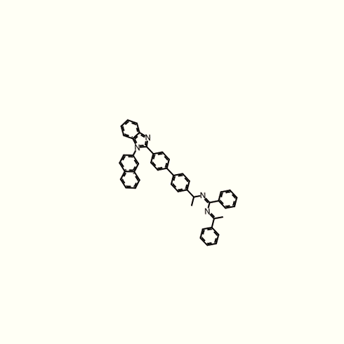 C/C(=N\C(=N/C(C)c1ccc(-c2ccc(-c3nc4ccccc4n3-c3ccc4ccccc4c3)cc2)cc1)c1ccccc1)c1ccccc1